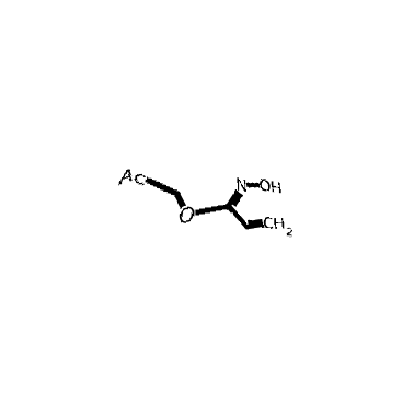 C=CC(=NO)OCC(C)=O